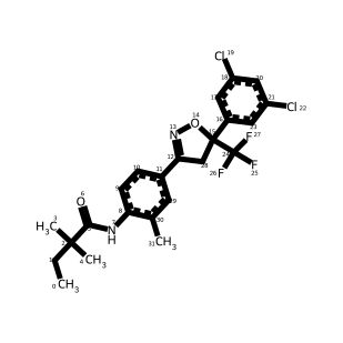 CCC(C)(C)C(=O)Nc1ccc(C2=NOC(c3cc(Cl)cc(Cl)c3)(C(F)(F)F)C2)cc1C